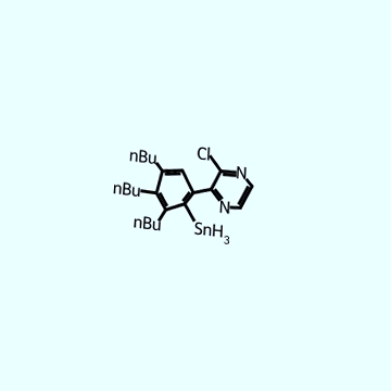 CCCCc1cc(-c2nccnc2Cl)[c]([SnH3])c(CCCC)c1CCCC